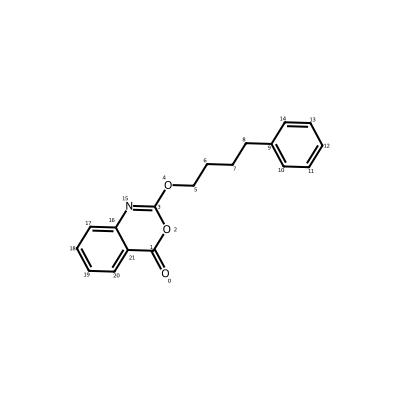 O=c1oc(OCCCCc2ccccc2)nc2ccccc12